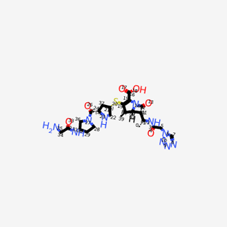 C[C@@H](NC(=O)Cn1cnnn1)[C@H]1C(=O)N2C(C(=O)O)=C(S[C@@H]3CN[C@H](C(=O)N4CCC(NC(=O)CN)C4)C3)[C@H](C)[C@H]12